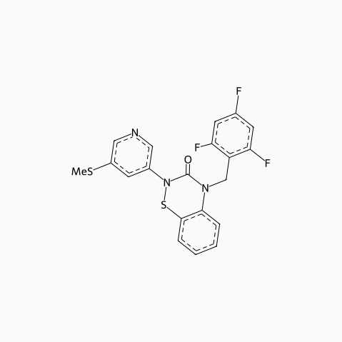 CSc1cncc(N2Sc3ccccc3N(Cc3c(F)cc(F)cc3F)C2=O)c1